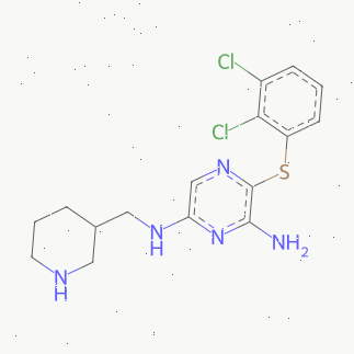 Nc1nc(NCC2CCCNC2)cnc1Sc1cccc(Cl)c1Cl